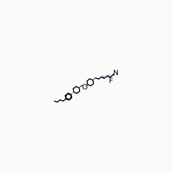 CCCCc1ccc([C@H]2CC[C@H](CO[C@H]3CC[C@H](CC/C=C/C=C(\F)C#N)CC3)CC2)cc1